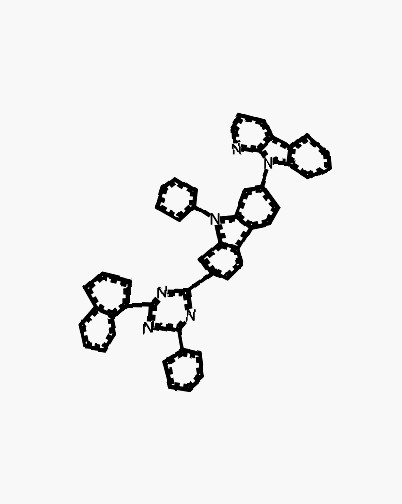 c1ccc(-c2nc(-c3ccc4c5ccc(-n6c7ccccc7c7cccnc76)cc5n(-c5ccccc5)c4c3)nc(-c3cccc4ccccc34)n2)cc1